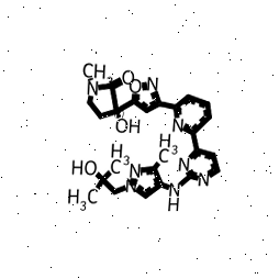 Cc1nn(CC(C)(C)O)cc1Nc1nccc(-c2cccc(-c3cc([C@]4(O)CCN(C)C4=O)on3)n2)n1